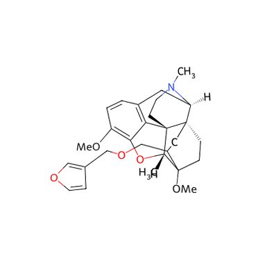 COc1ccc2c3c1O[C@H]1C4(OC)CC[C@@]5(C[C@]4(C)COCc4ccoc4)[C@@H](C2)N(C)CC[C@]315